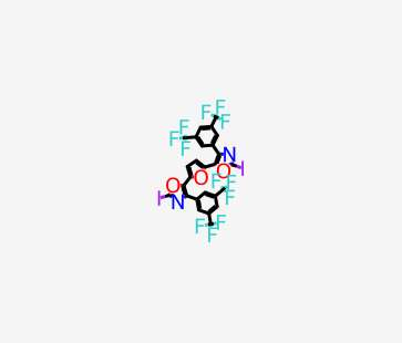 FC(F)(F)c1cc(-c2nc(I)oc2-c2ccc(-c3oc(I)nc3-c3cc(C(F)(F)F)cc(C(F)(F)F)c3)o2)cc(C(F)(F)F)c1